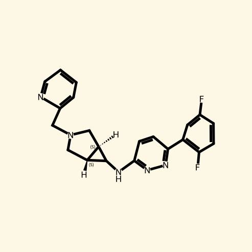 Fc1ccc(F)c(-c2ccc(NC3[C@@H]4CN(Cc5ccccn5)C[C@@H]34)nn2)c1